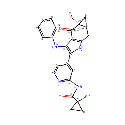 C[C@]12Cc3[nH]c(-c4ccnc(NC(=O)C5(F)CC5)c4)c(Nc4ccccc4)c3C(=O)[C@H]1C2